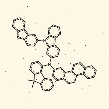 CC1(C)c2ccccc2-c2c(N(c3ccc4ccc5c6ccccc6ccc5c4c3)c3ccc4c5ccccc5n(-c5ccc6sc7ccccc7c6c5)c4c3)cccc21